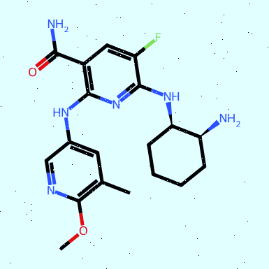 COc1ncc(Nc2nc(N[C@@H]3CCCC[C@@H]3N)c(F)cc2C(N)=O)cc1C